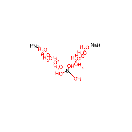 O.O.O.O.O.O.O.O.O.O.OB(O)O.[NaH].[NaH]